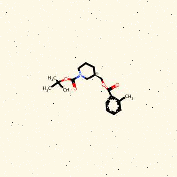 Cc1ccccc1C(=O)OC[C@@H]1CCCN(C(=O)OC(C)(C)C)C1